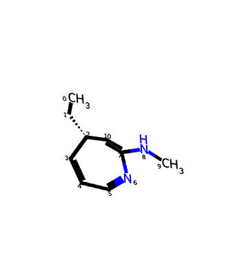 CC[C@H]1C=CC=NC(NC)=C1